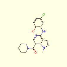 COc1ccc(Cl)cc1Nc1ncc(C(=O)N2CCCCC2)c2c1ccn2C